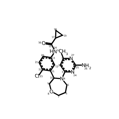 Cc1cc(N2CCCOCC2c2cc(NC(=O)C3CC3)ccc2Cl)nc(N)n1